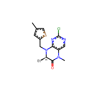 CC[C@@H]1C(=O)N(C)c2cnc(Cl)nc2N1Cc1cc(C)cs1